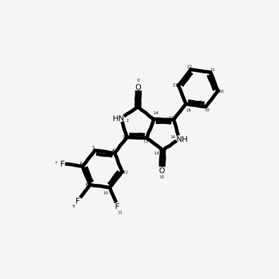 O=C1NC(c2cc(F)c(F)c(F)c2)=C2C(=O)NC(c3ccccc3)=C12